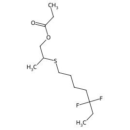 CCC(=O)OCC(C)SCCCCC(F)(F)CC